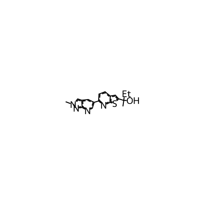 CCC(C)(O)c1cc2ccc(-c3cnc4nn(C)cc4c3)nc2s1